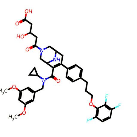 COc1cc(CN(C(=O)C2=C(c3ccc(CCCOc4c(F)ccc(F)c4F)cc3)CC3CN(C(=O)CC(O)CC(=O)O)CC2N3)C2CC2)cc(OC)c1